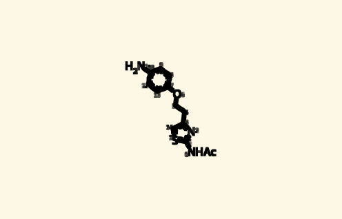 CC(=O)Nc1nc(CCOc2ccc(N)cc2)cs1